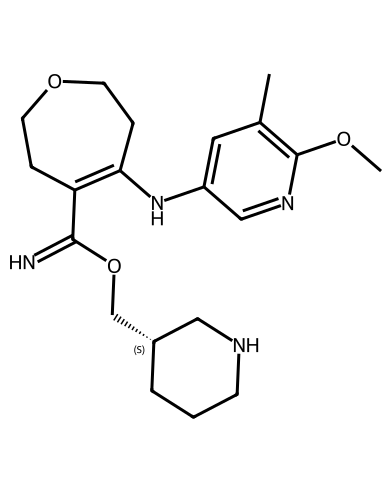 COc1ncc(NC2=C(C(=N)OC[C@H]3CCCNC3)CCOCC2)cc1C